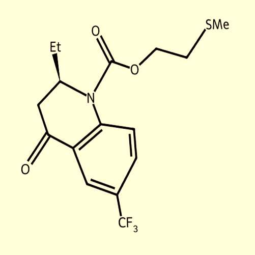 CC[C@@H]1CC(=O)c2cc(C(F)(F)F)ccc2N1C(=O)OCCSC